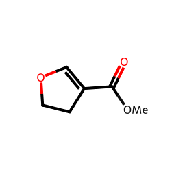 COC(=O)C1=COCC1